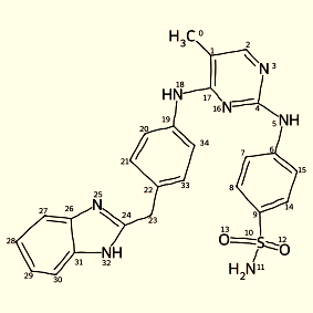 Cc1cnc(Nc2ccc(S(N)(=O)=O)cc2)nc1Nc1ccc(Cc2nc3ccccc3[nH]2)cc1